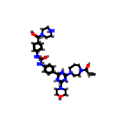 CNC(=O)N1CCCN(c2nc(-c3ccc(NC(=O)Nc4ccc(C(=O)N5CCNCC5)cc4)cc3)nc(N3CCOCC3)n2)CC1